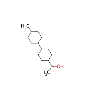 CC1CCC(C2CCC([C@@H](C)O)CC2)CC1